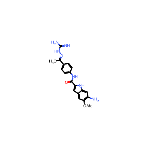 COc1cc2cc(C(=O)Nc3ccc(/C(C)=N/NC(=N)N)cc3)[nH]c2cc1N